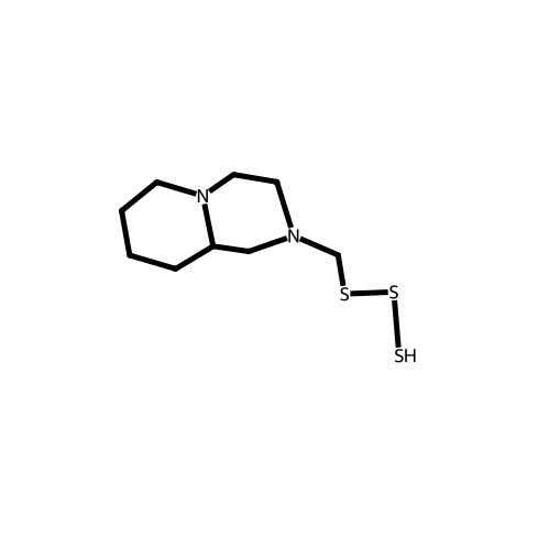 SSSCN1CCN2CCCCC2C1